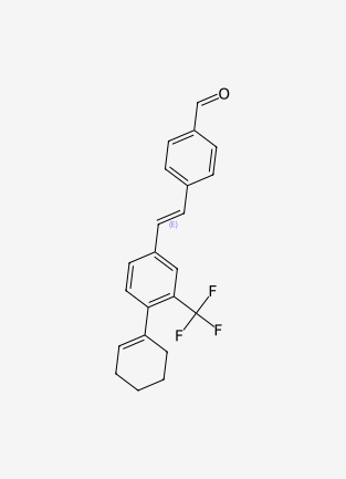 O=Cc1ccc(/C=C/c2ccc(C3=CCCCC3)c(C(F)(F)F)c2)cc1